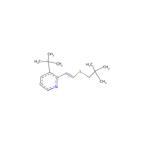 CC(C)(C)CS/C=C/c1ncccc1C(C)(C)C